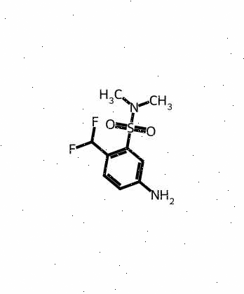 CN(C)S(=O)(=O)c1cc(N)ccc1C(F)F